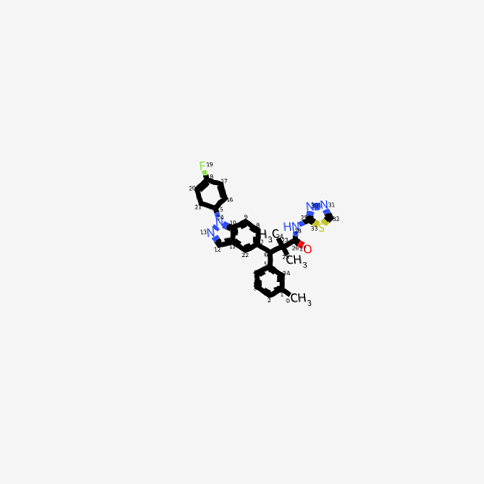 Cc1cccc(C(c2ccc3c(cnn3C3C=CC(F)=CC3)c2)C(C)(C)C(=O)Nc2nncs2)c1